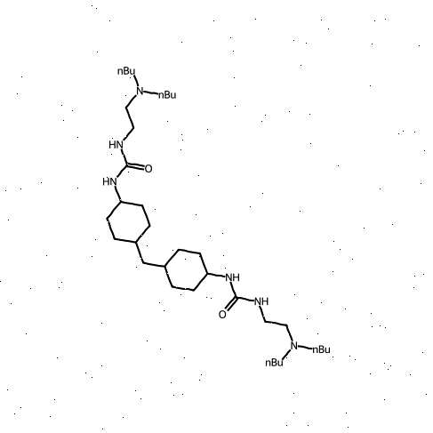 CCCCN(CCCC)CCNC(=O)NC1CCC(CC2CCC(NC(=O)NCCN(CCCC)CCCC)CC2)CC1